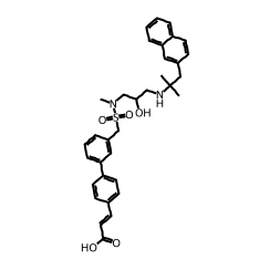 CN(CC(O)CNC(C)(C)Cc1ccc2ccccc2c1)S(=O)(=O)Cc1cccc(-c2ccc(C=CC(=O)O)cc2)c1